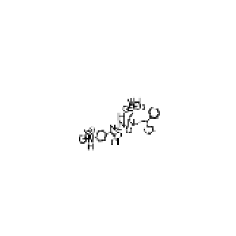 CS(=O)(=O)Nc1ccc(-c2nc(NC(=O)N(CCC(c3ccccc3)c3ccccc3)CCS(N)(=O)=O)sc2Cl)cc1